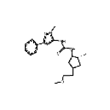 COCCC1C[C@@H](C)[C@H](NC(=O)Nc2cc(-c3ccccc3)nn2C)C1